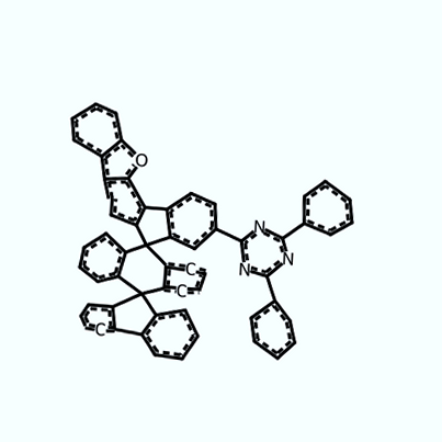 c1ccc(-c2nc(-c3ccccc3)nc(-c3ccc4c(c3)C3(c5ccccc5C5(c6ccccc6-c6ccccc65)c5ccccc53)c3ccc5c(oc6ccccc65)c3-4)n2)cc1